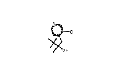 CC(C)(C)C(C)(O)Cc1ccncc1Cl